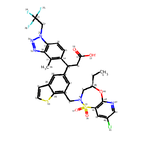 CC[C@@H]1CN(Cc2cc(C(CC(=O)O)c3ccc4c(nnn4CC(F)(F)F)c3C)cc3ccsc23)S(=O)(=O)c2cc(Cl)cnc2O1